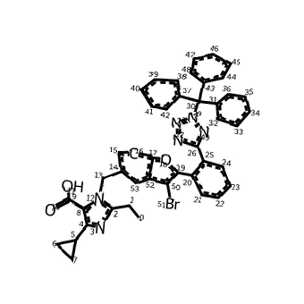 CCc1nc(C2CC2)c(C(=O)O)n1Cc1ccc2oc(-c3ccccc3-c3nnn(C(c4ccccc4)(c4ccccc4)c4ccccc4)n3)c(Br)c2c1